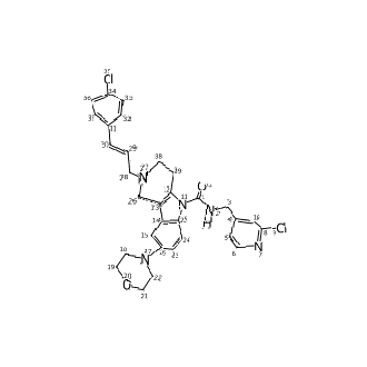 O=C(NCc1ccnc(Cl)c1)n1c2c(c3cc(N4CCOCC4)ccc31)CN(C/C=C/c1ccc(Cl)cc1)CC2